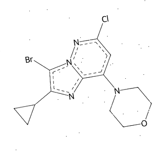 Clc1cc(N2CCOCC2)c2nc(C3CC3)c(Br)n2n1